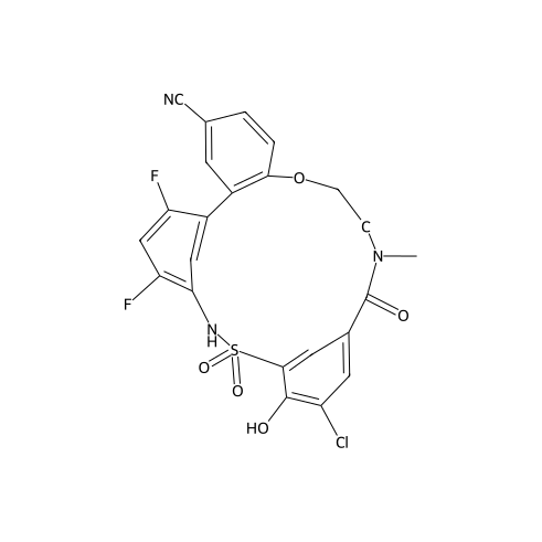 CN1CCOc2ccc(C#N)cc2-c2cc(c(F)cc2F)NS(=O)(=O)c2cc(cc(Cl)c2O)C1=O